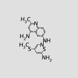 CSC1=CN(Nc2ccc3nc(C)cc(N)c3c2)SC(N)=C1